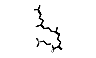 C=C(CCC=C(C)CCC=C(C)CCC=C(C)C)C(=O)OCCN(C)C